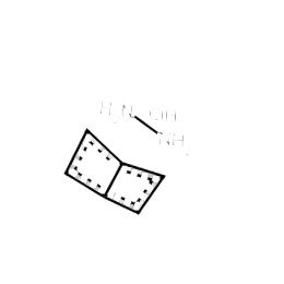 Cl.NN.c1cc2ccc1-2